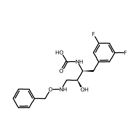 O=C(O)N[C@@H](Cc1cc(F)cc(F)c1)[C@@H](O)CNOCc1ccccc1